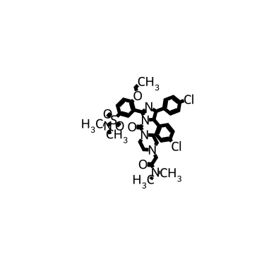 CCOc1ccc(S(=O)(=O)N(C)C)cc1C1=NC(c2ccc(Cl)cc2)C(c2ccc(Cl)cc2)N1C(=O)N1CCN(CC(=O)N(C)C)CC1